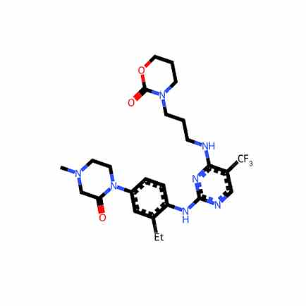 CCc1cc(N2CCN(C)CC2=O)ccc1Nc1ncc(C(F)(F)F)c(NCCCN2CCCOC2=O)n1